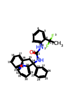 CC(F)(F)c1ccccc1NC(=O)NC(Cc1ccccc1)(c1ccccc1)c1ccccn1